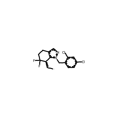 [CH2]/C=C1\c2c(cnn2Cc2ccc(Cl)cc2Cl)CCC1(F)F